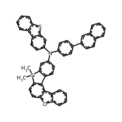 C[Si]1(C)c2cc(N(c3ccc(-c4ccc5ccccc5c4)cc3)c3ccc4c(c3)sc3ccccc34)ccc2-c2c1ccc1oc3ccccc3c21